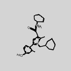 Cc1cc(O)ccc1-c1cc(C(=O)NC2CCCCC2)c(C)n1CC1CCCCC1